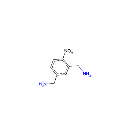 NCc1ccc([N+](=O)[O-])c(CN)c1